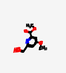 COC(=O)c1cc(OC)cc(CO)n1